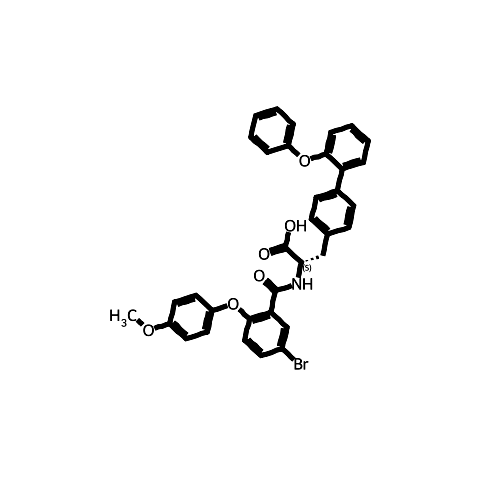 COc1ccc(Oc2ccc(Br)cc2C(=O)N[C@@H](Cc2ccc(-c3ccccc3Oc3ccccc3)cc2)C(=O)O)cc1